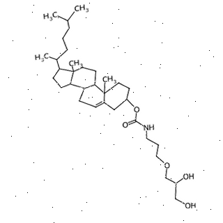 CC(C)CCCC(C)C1CCC2C3CC=C4CC(OC(=O)NCCCOCC(O)CO)CCC4(C)C3CCC12C